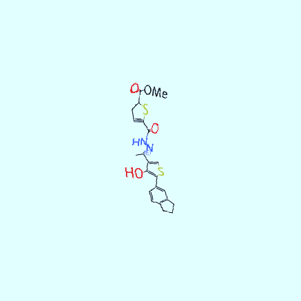 COC(=O)C1CC=C(C(=O)N/N=C(\C)c2csc(-c3ccc4c(c3)CCC4)c2O)S1